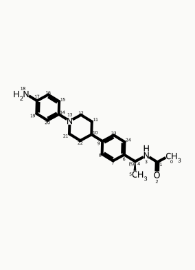 CC(=O)N[C@@H](C)c1ccc(C2CCN(c3ccc(N)cc3)CC2)cc1